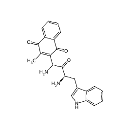 CC1=C(C(N)C(=O)[C@H](N)Cc2c[nH]c3ccccc23)C(=O)c2ccccc2C1=O